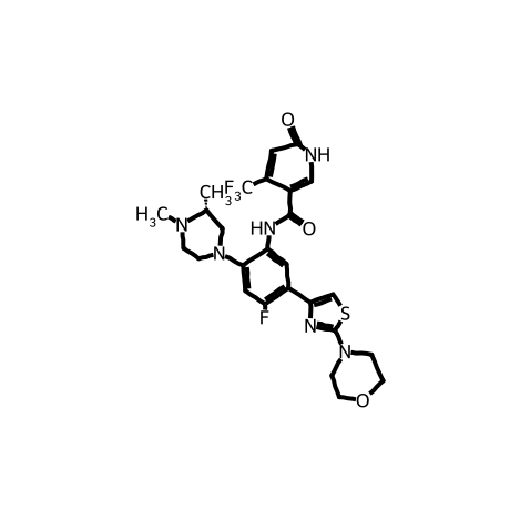 C[C@@H]1CN(c2cc(F)c(-c3csc(N4CCOCC4)n3)cc2NC(=O)c2c[nH]c(=O)cc2C(F)(F)F)CCN1C